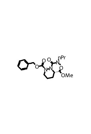 CCCN(C)C(=O)N1[C@H](C(=O)OC)CCCN1C(=O)OCc1ccccc1